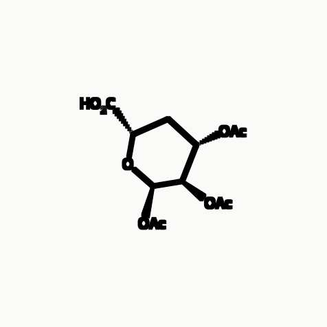 CC(=O)O[C@H]1O[C@H](C(=O)O)C[C@H](OC(C)=O)[C@H]1OC(C)=O